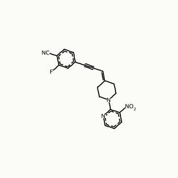 N#Cc1ccc(C#CC=C2CCN(c3ncccc3[N+](=O)[O-])CC2)cc1F